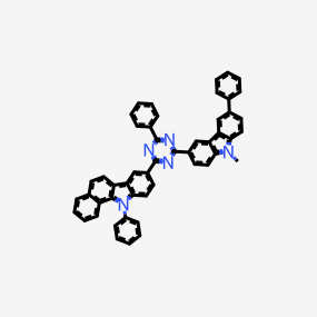 Cn1c2ccc(-c3ccccc3)cc2c2cc(-c3nc(-c4ccccc4)nc(-c4ccc5c(c4)c4ccc6ccccc6c4n5-c4ccccc4)n3)ccc21